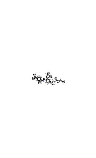 CCN(CCC(=O)OCC#N)c1ccc(/N=N/c2ccc([N+](=O)[O-])cc2Cl)c(NC(C)=O)c1